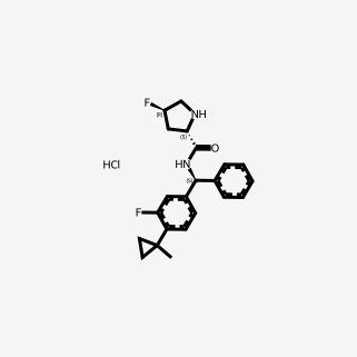 CC1(c2ccc([C@@H](NC(=O)[C@@H]3C[C@@H](F)CN3)c3ccccc3)cc2F)CC1.Cl